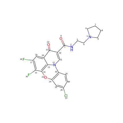 O=C(NCCN1CCCC1)c1cn2c3c(c(F)c(F)cc3c1=O)Oc1cc(Cl)ccc1-2